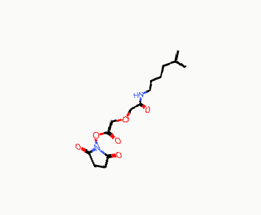 CC(C)CCCCNC(=O)COCC(=O)ON1C(=O)CCC1=O